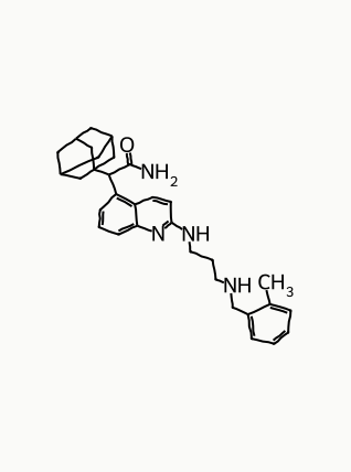 Cc1ccccc1CNCCCNc1ccc2c(C(C(N)=O)C34CC5CC(CC(C5)C3)C4)cccc2n1